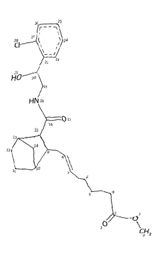 COC(=O)CCCC=CC1C2CCC(C2)C1C(=O)NCC(O)c1ccccc1Cl